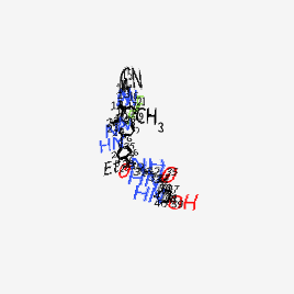 CCc1cc(Nc2cccn3c(-c4cn(CC#N)nc4C(C)(F)F)cnc23)ccc1C(=O)NCCNC(=O)[C@@H]1C[C@@H](O)CN1